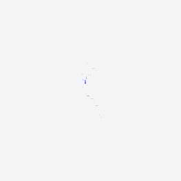 CC1(C)c2cc(Nc3ccc4c(c3)C(c3ccccc3)(c3ccccc3)c3ccccc3-4)ccc2-c2ccc(-c3ccc(-c4ccc(-c5ccccc5)cc4)cc3)cc21